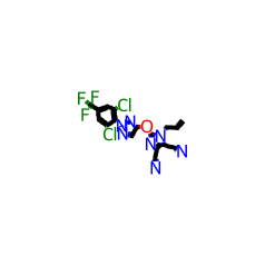 C=CCn1c(Oc2cnn(-c3c(Cl)cc(C(F)(F)F)cc3Cl)n2)nc(C#N)c1C#N